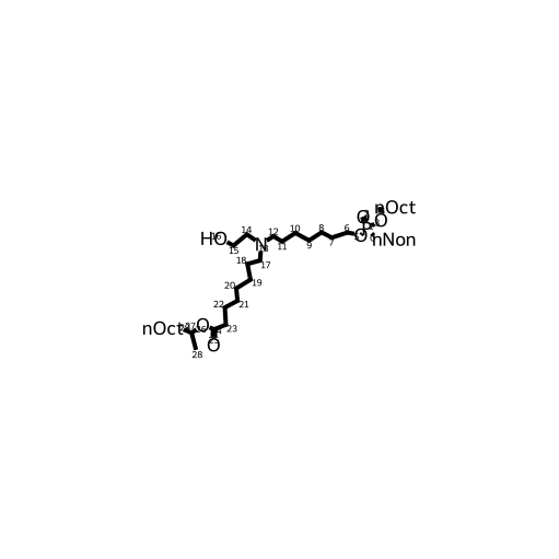 CCCCCCCCCP(=O)(OCCCCCCCC)OCCCCCCCN(CCO)CCCCCCCC(=O)OC(C)CCCCCCCC